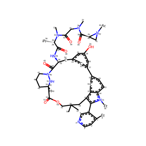 CCc1ccncc1-c1c2c3cc(ccc3n1CC)-c1cc(O)cc(c1)C[C@H](NC(=O)[C@H](C(C)C)N(C)C(=O)CN(C)C(=O)[C@@H]1CN1C(C)=O)C(=O)N1CCC[C@H](N1)C(=O)OCC(C)(C)C2